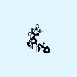 O=c1[nH]cc(-c2cc(NCC(F)(F)c3ccccc3)c3nccn3n2)c(=O)[nH]1